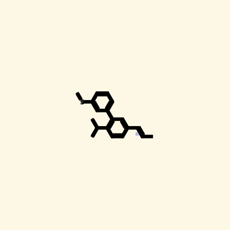 C/C=C/c1ccc(C(C)C)c(-c2cccc(SC)c2)c1